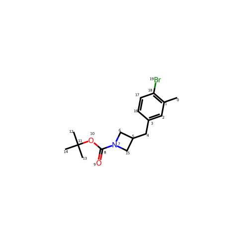 Cc1cc(CC2CN(C(=O)OC(C)(C)C)C2)ccc1Br